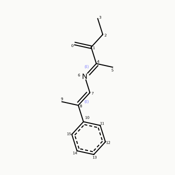 C=C(CC)/C(C)=N/C=C(\C)c1ccccc1